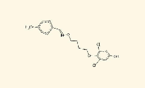 Oc1cc(Cl)c(OCCCCO/N=C/c2ccc(C(F)(F)F)cc2)c(Cl)c1